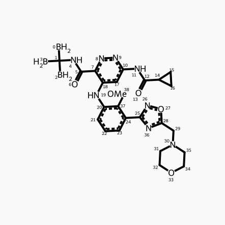 BC(B)(B)NC(=O)c1nnc(NC(=O)C2CC2)cc1Nc1cccc(-c2noc(CN3CCOCC3)n2)c1OC